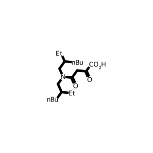 CCCCC(CC)CN(CC(CC)CCCC)C(=O)CC(=O)C(=O)O